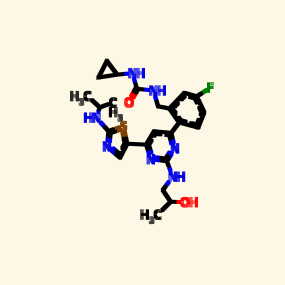 CC(O)CNc1nc(-c2cnc(NC(C)C)s2)cc(-c2ccc(F)cc2CNC(=O)NC2CC2)n1